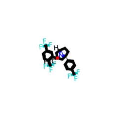 C[C@@H]1C[C@H]2CC[C@@](c3ccc(C(F)(F)F)cc3)(C1)N2Cc1cc(C(F)(F)F)ccc1C(F)(F)F